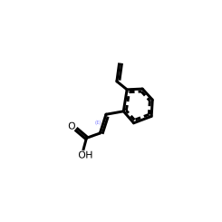 C=Cc1ccccc1/C=C/C(=O)O